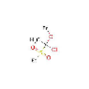 [CH2]C(O)(OCC)S(=O)(=O)CC